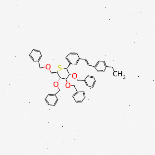 CCc1ccc(C=Cc2cccc([C@@H]3S[C@H](COCc4ccccc4)[C@@H](OCc4ccccc4)[C@H](OCc4ccccc4)[C@H]3OCc3ccccc3)c2)cc1